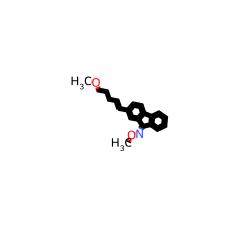 COCCC/C=C/c1ccc2c(c1)/C(=N\OC)c1ccccc1-2